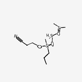 CCC[Si](C)(OCCC#N)O[SiH2]O[SiH](C)C